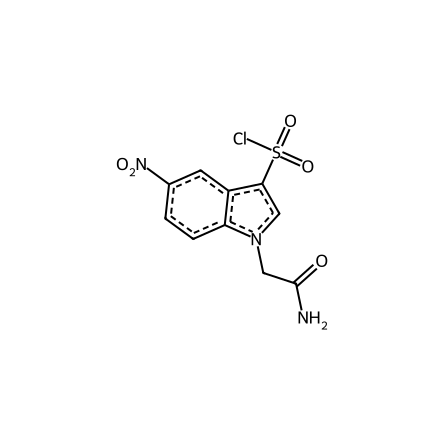 NC(=O)Cn1cc(S(=O)(=O)Cl)c2cc([N+](=O)[O-])ccc21